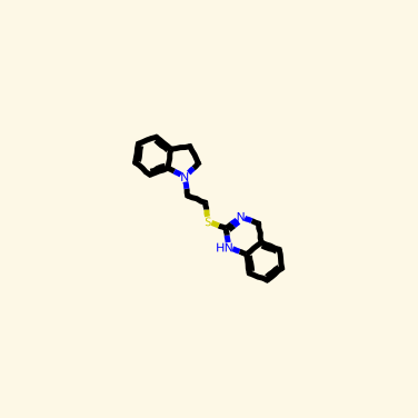 c1ccc2c(c1)CN=C(SCCN1CCc3ccccc31)N2